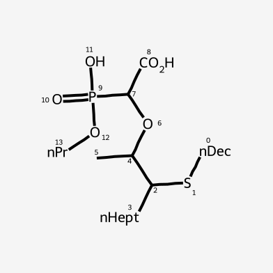 CCCCCCCCCCSC(CCCCCCC)C(C)OC(C(=O)O)P(=O)(O)OCCC